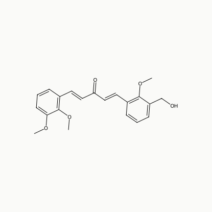 COc1cccc(/C=C/C(=O)/C=C/c2cccc(CO)c2OC)c1OC